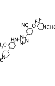 Cc1cc(Nc2ncnc(-c3ccc(OC4CCN(C=O)CC4(F)F)c(C#N)c3)n2)ccc1C1CCN(C)CC1